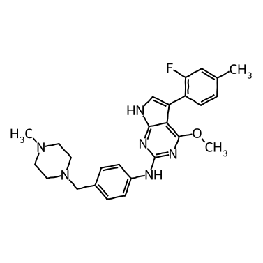 COc1nc(Nc2ccc(CN3CCN(C)CC3)cc2)nc2[nH]cc(-c3ccc(C)cc3F)c12